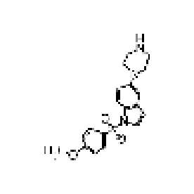 COc1ccc(S(=O)(=O)n2ccc3cc(N4CCNCC4)ccc32)cc1